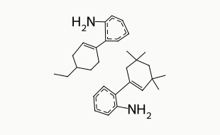 CC1(C)C=C(c2ccccc2N)CC(C)(C)C1.CCC1CC=C(c2ccccc2N)CC1